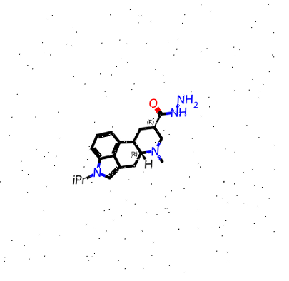 CC(C)n1cc2c3c(cccc31)C1C[C@@H](C(=O)NN)CN(C)[C@@H]1C2